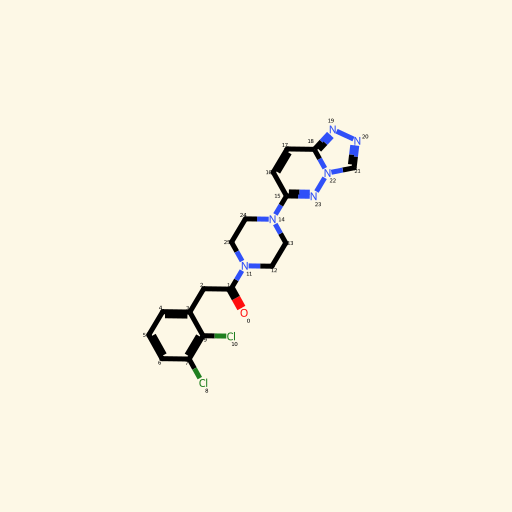 O=C(Cc1cccc(Cl)c1Cl)N1CCN(c2ccc3nncn3n2)CC1